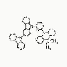 CC1(C)c2ccccc2N(c2cccc(-n3c4ccccc4c4cc(-n5c6ccccc6c6ccccc65)ccc43)n2)c2cnccc21